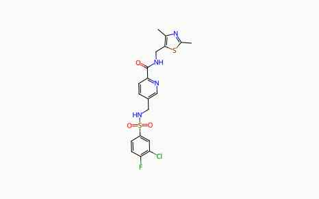 Cc1nc(C)c(CNC(=O)c2ccc(CNS(=O)(=O)c3ccc(F)c(Cl)c3)cn2)s1